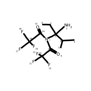 CCC(N)(C(C)C)N(C(=O)C(F)(F)F)C(=O)C(F)(F)F